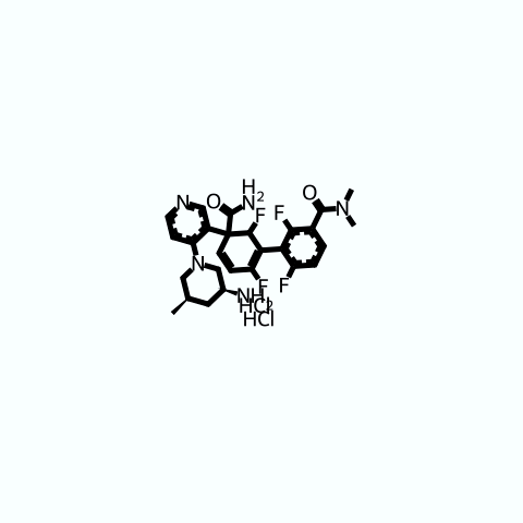 C[C@@H]1C[C@H](N)CN(c2ccncc2C2(C(N)=O)C=CC(F)=C(c3c(F)ccc(C(=O)N(C)C)c3F)C2F)C1.Cl.Cl